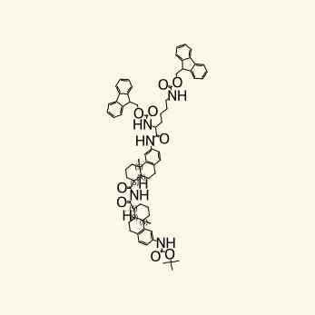 CC(C)(C)OC(=O)Nc1ccc2c(c1)[C@@]1(C)CCC[C@](C)(C(=O)NC(=O)[C@@]3(C)CCC[C@]4(C)c5cc(NC(=O)C(CCCCNC(=O)OCC6c7ccccc7-c7ccccc76)NC(=O)OCC6c7ccccc7-c7ccccc76)ccc5CC[C@@H]34)[C@@H]1CC2